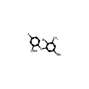 COc1cc(F)ccc1Oc1cc(C(C)(C)C)cc(C)c1Br